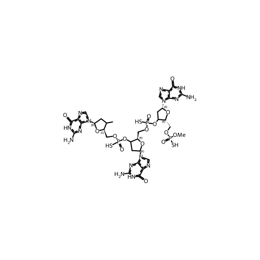 COP(=O)(S)OC[C@H]1O[C@@H](n2cnc3c(=O)[nH]c(N)nc32)CC1OP(=O)(S)OC[C@H]1O[C@@H](n2cnc3c(=O)[nH]c(N)nc32)CC1OP(=O)(S)OC[C@H]1O[C@@H](n2cnc3c(=O)[nH]c(N)nc32)CC1C